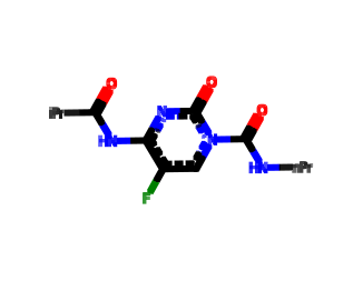 CCCNC(=O)n1cc(F)c(NC(=O)C(C)C)nc1=O